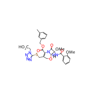 COc1ccccc1C(=O)N[C@]1(OC)C(=O)N2C(C(=O)OCc3cccc(C)c3)=C(CSc3nnnn3CC(=O)O)CO[C@@H]21